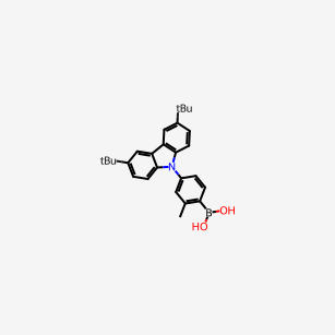 Cc1cc(-n2c3ccc(C(C)(C)C)cc3c3cc(C(C)(C)C)ccc32)ccc1B(O)O